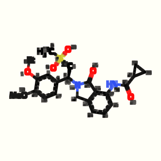 CCOc1cc([C@@H]([13CH2]S([13CH3])(=O)=O)N2Cc3cccc(NC(=O)C4CC4)c3C2=O)ccc1OC